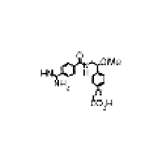 COC(CNC(=O)c1ccc(C(=N)N)cc1)c1ccc(OCC(=O)O)cc1